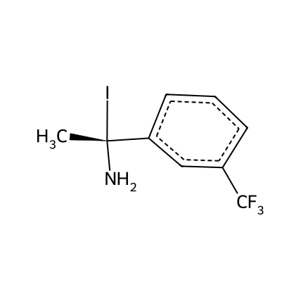 C[C@@](N)(I)c1cccc(C(F)(F)F)c1